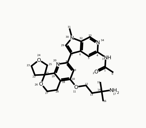 CC(=O)Nc1cc2c(-c3cc(OCCC(C)(C)N)c4c(n3)C3(CCOC3)OCC4)cn(C)c2cn1